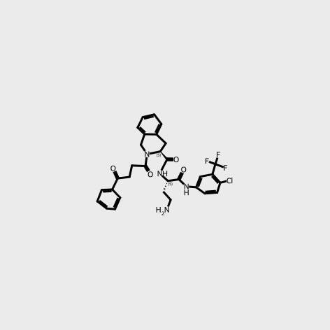 NCC[C@H](NC(=O)[C@@H]1Cc2ccccc2CN1C(=O)CCC(=O)c1ccccc1)C(=O)Nc1ccc(Cl)c(C(F)(F)F)c1